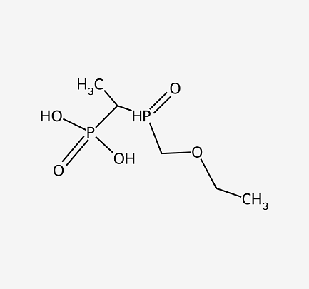 CCOC[PH](=O)C(C)P(=O)(O)O